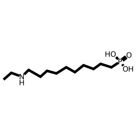 CCNCCCCCCCCCCP(=O)(O)O